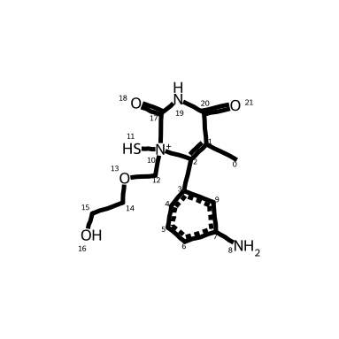 CC1=C(c2cccc(N)c2)[N+](S)(COCCO)C(=O)NC1=O